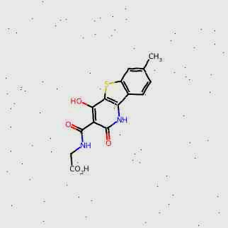 Cc1ccc2c(c1)sc1c(O)c(C(=O)NCC(=O)O)c(=O)[nH]c12